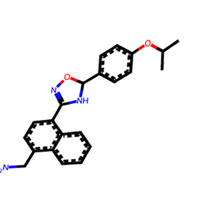 CC(C)Oc1ccc(C2NC(c3ccc(CN)c4ccccc34)=NO2)cc1